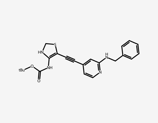 CC(C)(C)OC(=O)NC1=C(C#Cc2ccnc(NCc3ccccc3)c2)SCN1